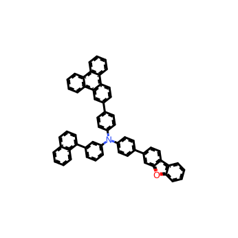 c1cc(-c2cccc3ccccc23)cc(N(c2ccc(-c3ccc4c(c3)oc3ccccc34)cc2)c2ccc(-c3ccc4c5ccccc5c5ccccc5c4c3)cc2)c1